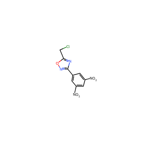 O=[N+]([O-])c1cc(-c2noc(CCl)n2)cc([N+](=O)[O-])c1